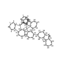 c1ccc(C23c4ccccc4-c4cccc(c42)C2(c4ccccc4-c4c(-c5ccc6sc7ccccc7c6c5)cccc42)c2ccccc23)cc1